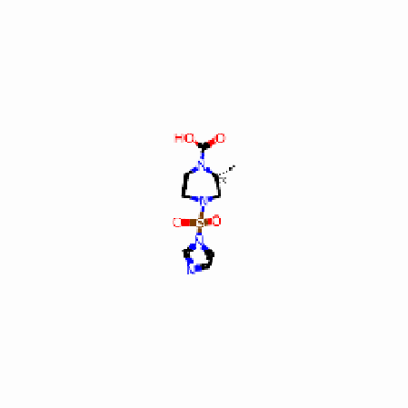 C[C@@H]1CN(S(=O)(=O)n2ccnc2)CCN1C(=O)O